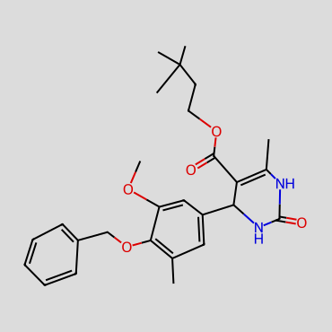 COc1cc(C2NC(=O)NC(C)=C2C(=O)OCCC(C)(C)C)cc(C)c1OCc1ccccc1